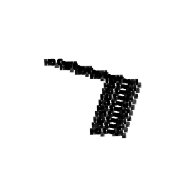 NC(=O)O.NC(=O)O.NC(=O)O.NC(=O)O.NC(=O)O.NC(=O)O.NC(=O)O.NC(=O)O.NC(=O)O.NC(=O)O.NC(=O)O.NC(=O)O.NC(=O)O.NC(=O)O